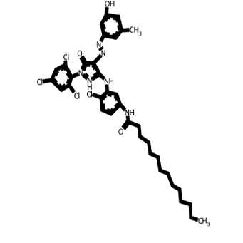 CCCCCCCCCCCCCC(=O)Nc1ccc(Cl)c(Nc2[nH]n(-c3c(Cl)cc(Cl)cc3Cl)c(=O)c2/N=N/c2cc(C)cc(O)c2)c1